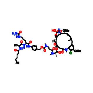 COc1cc2cc(c1Cl)N(C)C(=O)C[C@H](OC(=O)[C@H](C)N(C)C(=O)CCN(C)C(=O)OCc1ccc(NC(=O)[C@H](CCCNC(N)=O)NC(=O)[C@@H](NC(=O)CCCCC(C)=O)C(C)C)cc1)[C@]1(C)O[C@H]1[C@H](C)[C@@H]1C[C@@](O)(NC(O)O1)[C@H](OC)/C=C/C=C(\C)C2